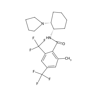 Cc1cc(C(F)(F)F)cc(C(F)(F)F)c1C(=O)N[C@H]1CCCC[C@H]1N1CCCC1